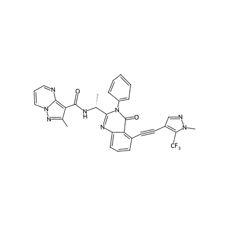 Cc1nn2cccnc2c1C(=O)N[C@H](C)c1nc2cccc(C#Cc3cnn(C)c3C(F)(F)F)c2c(=O)n1-c1ccccc1